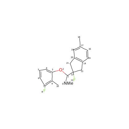 CNC(Oc1cccc(F)c1C)C1(F)Cc2ccc(C)cc2C1